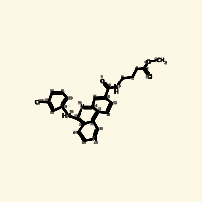 COC(=O)CCCNC(=O)c1ccc2c(c1)nc(Nc1cccc(Cl)c1)c1ccncc12